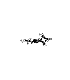 CCCCNC(=O)CNC(=O)c1ccc2c(c1)CCN(C(=O)CN1CCN(CC(=O)O)CCN(CC(=O)O)CCN(CC(=O)O)CC1)C2